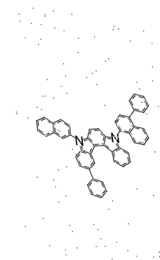 c1ccc(-c2ccc3c(c2)c2c4c5ccccc5n(-c5ccc(-c6ccccc6)c6ccccc56)c4ccc2n3-c2ccc3ccccc3c2)cc1